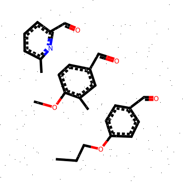 CCCOc1ccc(C=O)cc1.COc1ccc(C=O)cc1C.Cc1cccc(C=O)n1